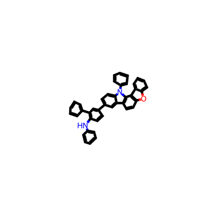 c1ccc(Nc2ccc(-c3ccc4c(c3)c3ccc5oc6ccccc6c5c3n4-c3ccccc3)cc2-c2ccccc2)cc1